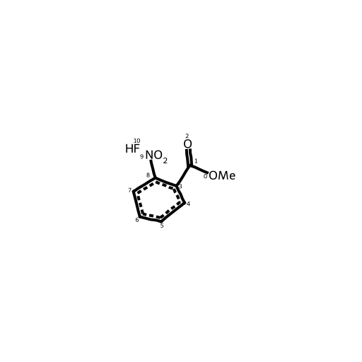 COC(=O)c1ccccc1[N+](=O)[O-].F